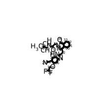 CC(C)(C)CNC(=O)Cn1nc(Cc2nc3cc(OCC(F)F)c(C#N)cc3[nH]2)c2ccccc2c1=O